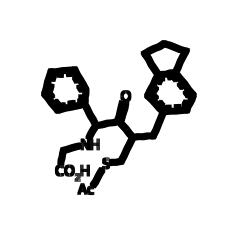 CC(=O)SCC(Cc1ccc2c(c1)CCC2)C(=O)C(NCC(=O)O)c1ccccc1